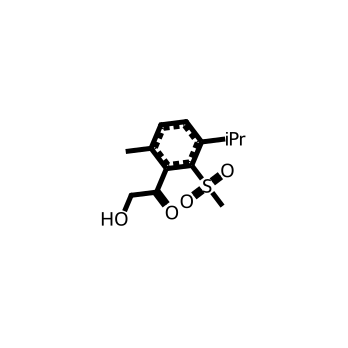 Cc1ccc(C(C)C)c(S(C)(=O)=O)c1C(=O)CO